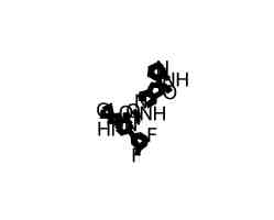 O=C(CN1C(=O)C2(CC3(COC3)C2)NCC1c1cc(F)cc(F)c1)Nc1cc2c(cn1)CC1(C2)C(=O)Nc2ncccc21